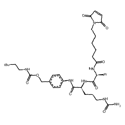 CC(C)[C@H](NC(=O)CCCCCN1C(=O)C=CC1=O)C(=O)N[C@@H](CCCNC(N)=O)C(=O)Nc1ccc(COC(=O)NCCC(C)(C)C)cc1